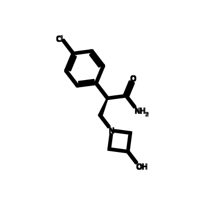 NC(=O)[C@@H](CN1CC(O)C1)c1ccc(Cl)cc1